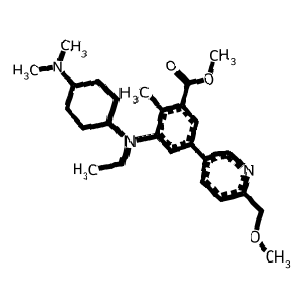 CCN(c1cc(-c2ccc(COC)nc2)cc(C(=O)OC)c1C)C1CCC(N(C)C)CC1